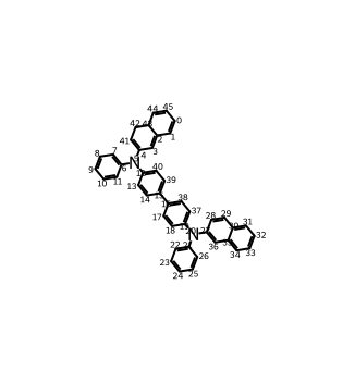 C1=CC2=CC(N(c3ccccc3)c3ccc(-c4ccc(N(c5ccccc5)c5ccc6ccccc6c5)cc4)cc3)=CCC2C=C1